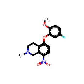 COc1ccc(F)cc1Oc1ccc([N+](=O)[O-])c2c1CCN(C)C2